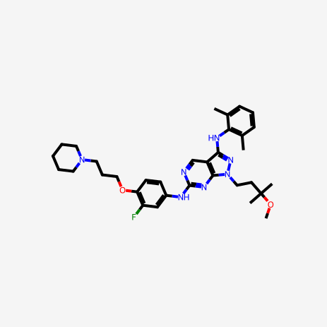 COC(C)(C)CCn1nc(Nc2c(C)cccc2C)c2cnc(Nc3ccc(OCCCN4CCCCC4)c(F)c3)nc21